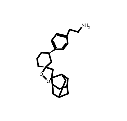 NCCc1ccc([C@@H]2CCC[C@@]3(C2)CC2(OO3)C3CC4CC(C3)CC2C4)cc1